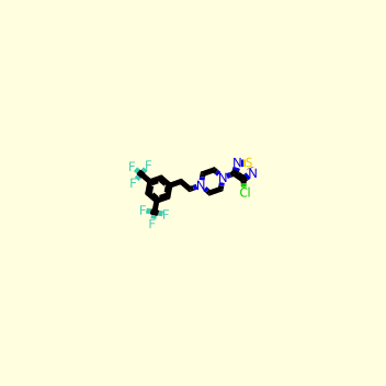 FC(F)(F)c1cc(CCN2CCN(c3nsnc3Cl)CC2)cc(C(F)(F)F)c1